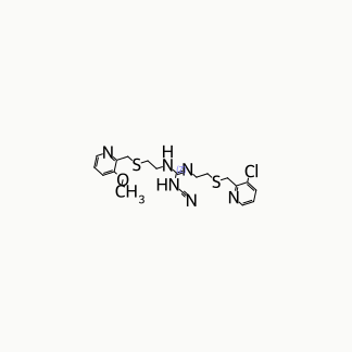 COc1cccnc1CSCCN/C(=N/CCSCc1ncccc1Cl)NC#N